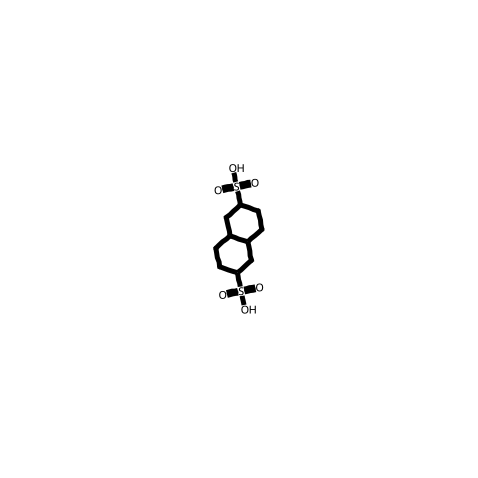 O=S(=O)(O)C1CCC2CC(S(=O)(=O)O)CCC2C1